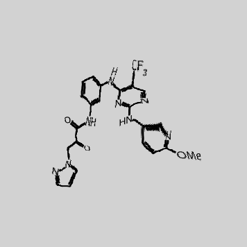 COc1ccc(Nc2ncc(C(F)(F)F)c(Nc3cccc(NC(=O)C(=O)Cn4cccn4)c3)n2)cn1